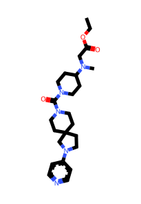 CCOC(=O)CN(C)C1CCN(C(=O)N2CCC3(CC2)CCN(c2ccncc2)C3)CC1